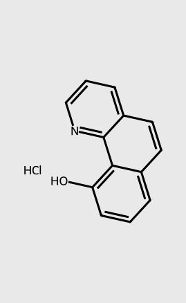 Cl.Oc1cccc2ccc3cccnc3c12